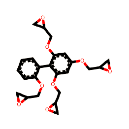 c1ccc(-c2c(OCC3CO3)cc(OCC3CO3)cc2OCC2CO2)c(OCC2CO2)c1